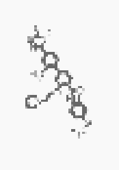 COc1ccc(NC(=O)c2ccc(-c3ccc(-c4noc(C)n4)cc3C)cc2OCCN2CCCC2)cc1